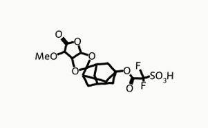 COC1C(=O)OC2OC3(OC21)C1CC2CC3CC(OC(=O)C(F)(F)S(=O)(=O)O)(C2)C1